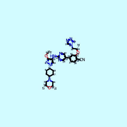 CC(C)Oc1nn([C@H]2CC[C@H](N3C[C@@H](C)O[C@@H](C)C3)CC2)cc1Nc1ncc(-c2ccc(C#N)c(O[C@@H](C)Cn3cnnn3)c2)cn1